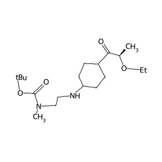 CCO[C@H](C)C(=O)C1CCC(NCCN(C)C(=O)OC(C)(C)C)CC1